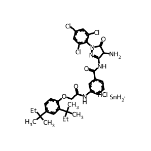 CCC(C)(C)c1ccc(OCC(=O)Nc2cccc(C(=O)NC3=NN(c4c(Cl)cc(Cl)cc4Cl)C(=O)C3N)c2)c(C(C)(C)CC)c1.Cl.[SnH2]